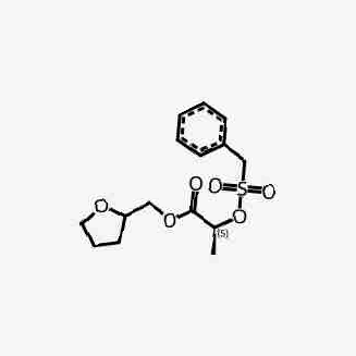 C[C@H](OS(=O)(=O)Cc1ccccc1)C(=O)OCC1CCCO1